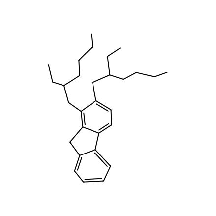 CCCCC(CC)Cc1ccc2c(c1CC(CC)CCCC)Cc1ccccc1-2